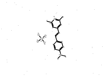 Cc1cc(C=Cc2ccc(N(C)C)cc2)cc(C)[o+]1.[O-][Cl+3]([O-])([O-])[O-]